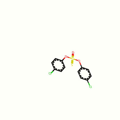 O=S(=S)(Oc1ccc(Cl)cc1)Oc1ccc(Cl)cc1